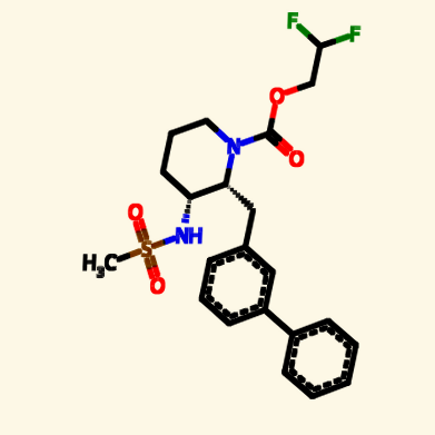 CS(=O)(=O)N[C@@H]1CCCN(C(=O)OCC(F)F)[C@@H]1Cc1cccc(-c2ccccc2)c1